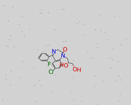 O=C1CN=C(c2ccccc2F)c2cc(Cl)ccc2N1CC(O)CO